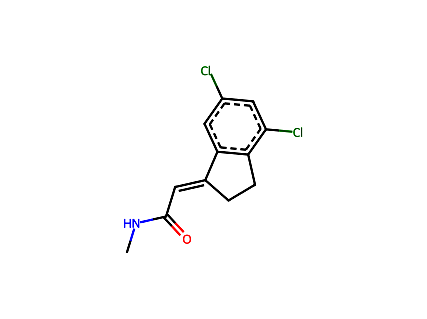 CNC(=O)C=C1CCc2c(Cl)cc(Cl)cc21